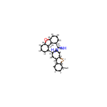 Cc1cccc2c1sc1ccc(-c3cccc4oc5cccc(C(=N)N)c5c34)cc12